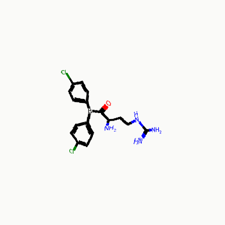 N=C(N)NCCC(N)C(=O)B(c1ccc(Cl)cc1)c1ccc(Cl)cc1